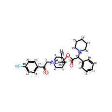 O=C(C[N+]12CCC(CC1)[C@@H](OC(=O)C(c1ccccc1)N1CCCCC1)C2)c1ccc(F)cc1